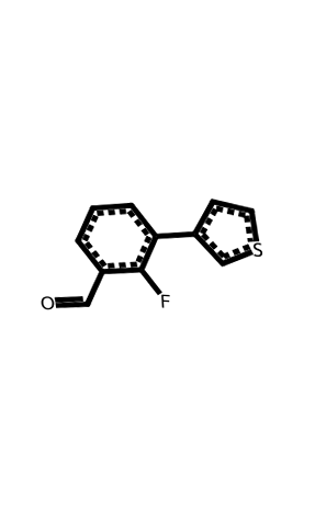 O=Cc1cccc(-c2ccsc2)c1F